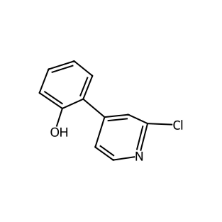 Oc1ccccc1-c1ccnc(Cl)c1